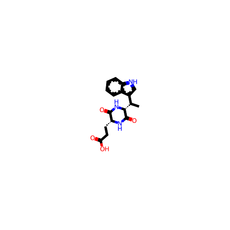 CC(c1c[nH]c2ccccc12)[C@H]1NC(=O)[C@@H](CCC(=O)O)NC1=O